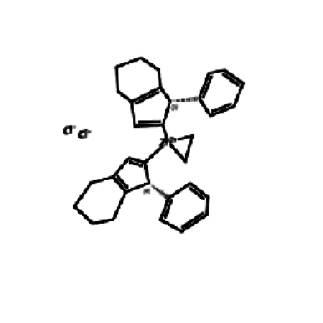 C1=[C]([Zr+2]2([C]3=CC4=C(CCCC4)[C@H]3c3ccccc3)[CH2][CH2]2)[C@@H](c2ccccc2)C2=C1CCCC2.[Cl-].[Cl-]